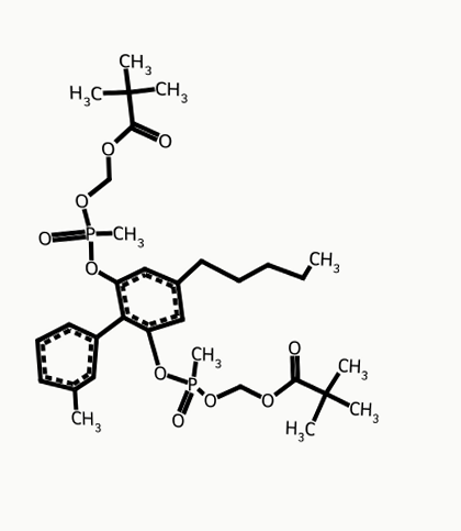 CCCCCc1cc(OP(C)(=O)OCOC(=O)C(C)(C)C)c(-c2cccc(C)c2)c(OP(C)(=O)OCOC(=O)C(C)(C)C)c1